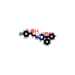 OC(CCCN1CCC(C(O)(c2ccccc2)c2ccccc2)CC1)c1ccc(F)cc1